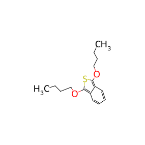 CCCCOc1sc(OCCCC)c2ccccc12